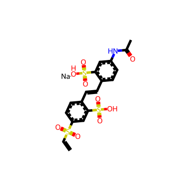 C=CS(=O)(=O)c1ccc(C=Cc2ccc(NC(C)=O)cc2S(=O)(=O)O)c(S(=O)(=O)O)c1.[Na]